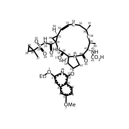 CCOc1cc2cc(OC)ccc2c(O[C@@H]2C[C@H]3C(=O)N[C@]4(C(=O)NS(=O)(=O)C5(C)CC5)C[C@H]4C=CCC[C@@H](C)C[C@@H](C)[C@H](NC(=O)O)C(=O)N3C2)n1